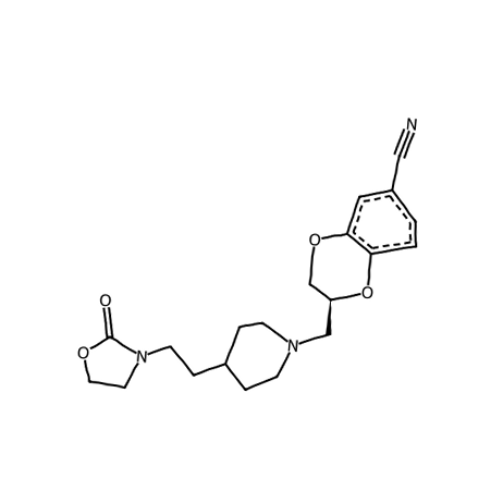 N#Cc1ccc2c(c1)OC[C@H](CN1CCC(CCN3CCOC3=O)CC1)O2